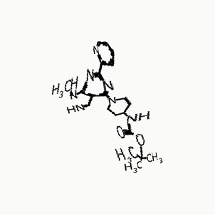 CNc1nc(-c2ccccn2)nc(N2CCC(NC(=O)OC(C)(C)C)CC2)c1C=N